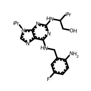 CC(C)C(CO)Nc1nc(NCc2cc(F)ccc2N)c2ncn(C(C)C)c2n1